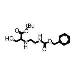 CC(C)(C)OC(=O)C(CO)NCCNC(=O)OCc1ccccc1